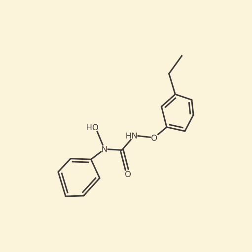 CCc1cccc(ONC(=O)N(O)c2ccccc2)c1